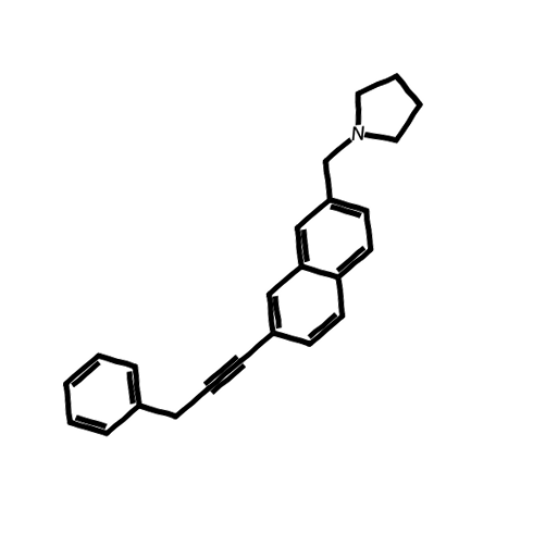 C(#Cc1ccc2ccc(CN3CCCC3)cc2c1)Cc1ccccc1